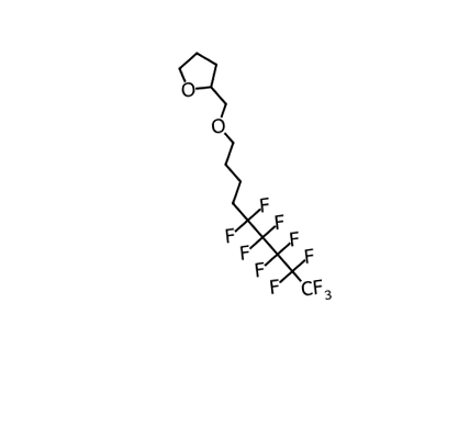 FC(F)(F)C(F)(F)C(F)(F)C(F)(F)C(F)(F)CCCCOCC1CCCO1